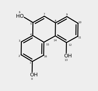 Oc1ccc2c(O)cc3cccc(O)c3c2c1